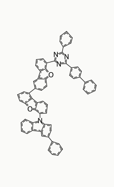 c1ccc(-c2ccc(-c3nc(-c4ccccc4)nc(-c4cccc5c4oc4ccc(-c6cccc7oc8c(-n9c%10ccccc%10c%10cc(-c%11ccccc%11)ccc%109)cccc8c67)cc45)n3)cc2)cc1